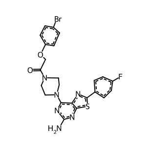 Nc1nc(N2CCN(C(=O)COc3ccc(Br)cc3)CC2)c2nc(-c3ccc(F)cc3)sc2n1